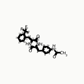 CC(=O)Nc1ccc(C=c2[nH]c(=O)c(=Cc3ccccc3C(F)(F)F)[nH]c2=O)cc1